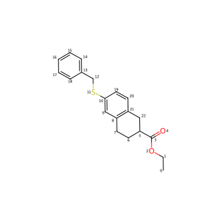 CCOC(=O)C1CCc2cc(SCc3ccccc3)ccc2C1